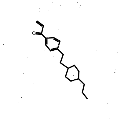 C=CC(=O)c1ccc(CCC2CCC(CCC)CC2)cc1